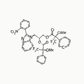 CO[C@@](C(=O)OCC(Cn1c(-c2ccccc2[N+](=O)[O-])nc2ccccc21)OC(=O)[C@](OC)(c1ccccc1)C(F)(F)F)(c1ccccc1)C(F)(F)F